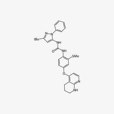 CSc1cc(Oc2ccnc3c2CCCN3)ccc1NC(=O)Nc1cc(C(C)(C)C)nn1-c1ccccc1